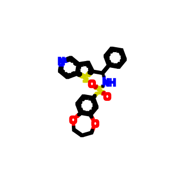 O=S(=O)(N[C@@H](c1ccccc1)c1cc2cnccc2s1)c1ccc2c(c1)OCCCO2